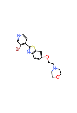 Brc1cnccc1-c1nc2ccc(OCCN3CCOCC3)cc2s1